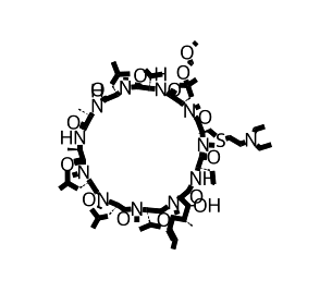 C/C=C/C[C@@H](C)[C@@H](O)[C@H]1C(=O)N[C@@H](CC)C(=O)N(C)[C@H](CSCCN(CC)CC)C(=O)N(C)[C@@H](CC(C)(C)OCOC)C(=O)N[C@@H](C(C)C)C(=O)N(C)[C@@H](CC(C)C)C(=O)N[C@@H](C)C(=O)N[C@H](C)C(=O)N(C)[C@@H](CC(C)C)C(=O)N(C)[C@@H](CC(C)C)C(=O)N(C)[C@@H](C(C)C)C(=O)N1C